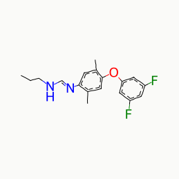 CCCNC=Nc1cc(C)c(Oc2cc(F)cc(F)c2)cc1C